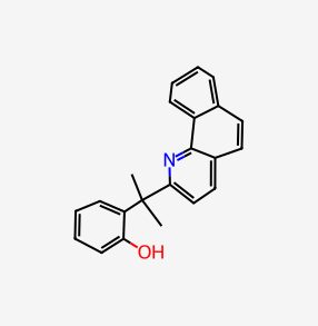 CC(C)(c1ccc2ccc3ccccc3c2n1)c1ccccc1O